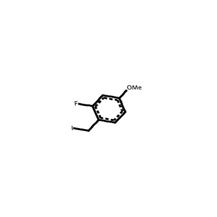 COc1ccc(CI)c(F)c1